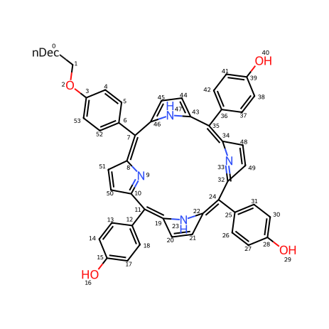 CCCCCCCCCCCOc1ccc(-c2c3nc(c(-c4ccc(O)cc4)c4ccc([nH]4)c(-c4ccc(O)cc4)c4nc(c(-c5ccc(O)cc5)c5ccc2[nH]5)C=C4)C=C3)cc1